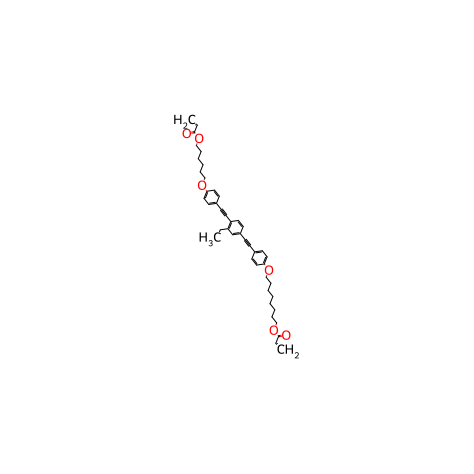 C=CC(=O)OCCCCCCCCOc1ccc(C#Cc2ccc(C#Cc3ccc(OCCCCCCOC(=O)C=C)cc3)c(CC)c2)cc1